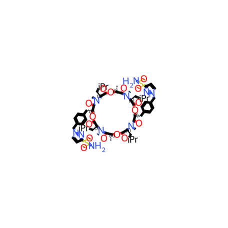 CC(C)C[C@H]1C(=O)O[C@H](Cc2ccc(Cn3ccc(S(N)(=O)=O)n3)cc2)C(=O)N(C)[C@@H](CC(C)C)C(=O)O[C@H](C)C(=O)N(C)[C@@H](CC(C)C)C(=O)O[C@H](Cc2ccc(Cn3ccc(S(N)(=O)=O)n3)cc2)C(=O)N(C)[C@@H](CC(C)C)C(=O)O[C@H](C)C(=O)N1C